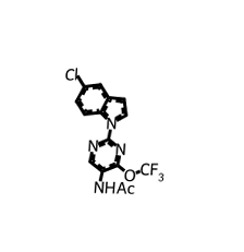 CC(=O)Nc1cnc(-n2ccc3cc(Cl)ccc32)nc1OC(F)(F)F